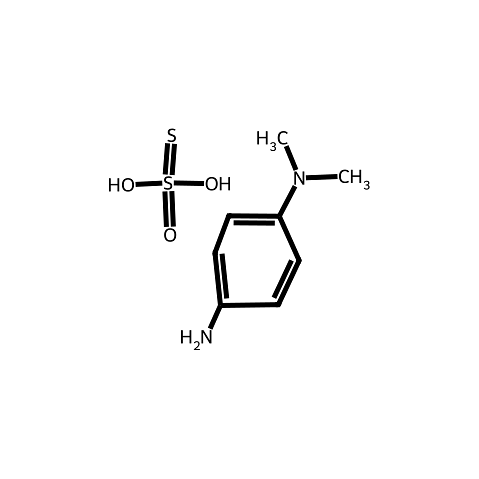 CN(C)c1ccc(N)cc1.O=S(O)(O)=S